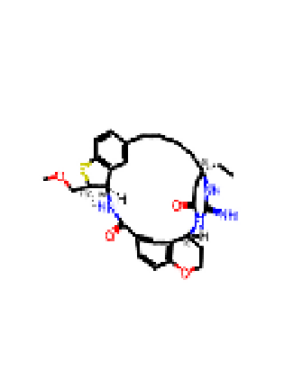 CC[C@]12CCCCc3ccc4c(c3)[C@@H](NC(=O)c3ccc5c(c3)[C@@H](CCO5)N(C(=N)N1)C(=O)C2)[C@@](C)(COC)S4